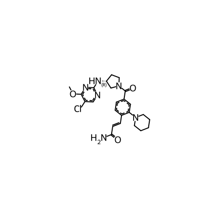 COc1nc(N[C@@H]2CCN(C(=O)c3ccc(C=CC(N)=O)c(N4CCCCC4)c3)C2)ncc1Cl